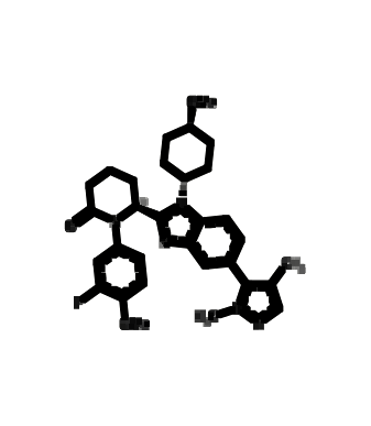 COc1ccc(N2C(=O)CCC[C@H]2c2nc3cc(-c4c(C)cnn4C)ccc3n2[C@H]2CC[C@H](OC)CC2)cc1F